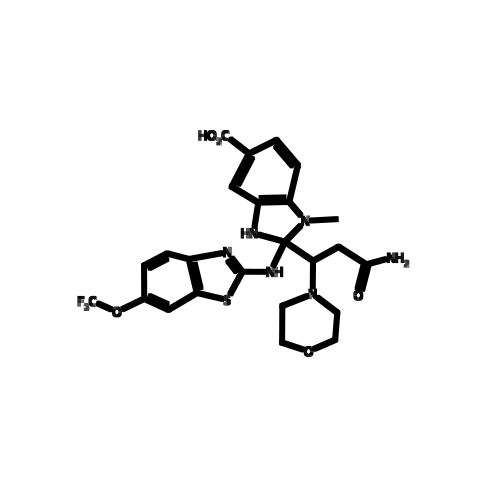 CN1c2ccc(C(=O)O)cc2NC1(Nc1nc2ccc(OC(F)(F)F)cc2s1)C(CC(N)=O)N1CCOCC1